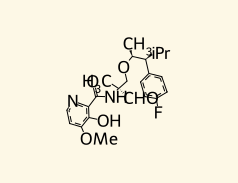 COc1ccnc(C(=O)N[C@](C)(C=O)CO[C@@H](C)[C@H](c2ccc(F)cc2)C(C)C)c1O